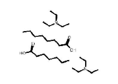 CCCCCCC(=O)O.CCCCCCCC(=O)O.CCN(CC)CC.CCN(CC)CC